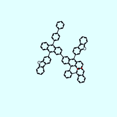 c1ccc(-c2ccc(-c3c4ccccc4c(-c4ccc5c(c4)oc4ccccc45)c4cc(-c5ccc6c(-c7ccccc7-c7cccc8ccccc78)c7ccccc7c(-c7ccc8c(c7)oc7ccccc78)c6c5)ccc34)cc2)cc1